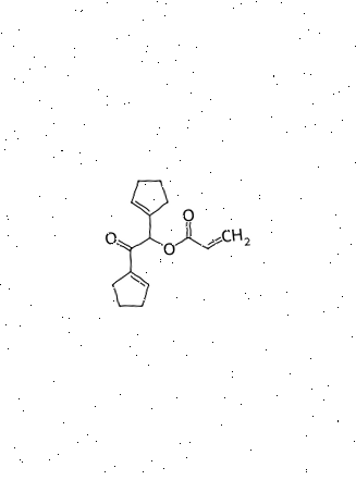 C=CC(=O)OC(C(=O)C1=CCCC1)C1=CCCC1